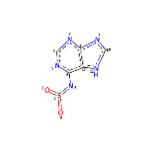 O=S(=O)=Nc1ncnc2nc[nH]c12